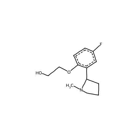 CN1CCCC1c1cc(F)ccc1OCCO